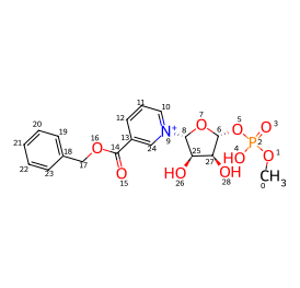 COP(=O)(O)O[C@H]1O[C@@H]([n+]2cccc(C(=O)OCc3ccccc3)c2)[C@H](O)[C@@H]1O